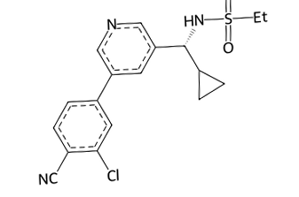 CCS(=O)(=O)N[C@@H](c1cncc(-c2ccc(C#N)c(Cl)c2)c1)C1CC1